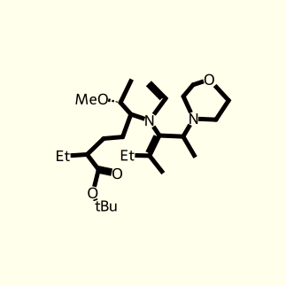 C=CN(/C(=C(/C)CC)C(C)N1CCOCC1)C(CCC(CC)C(=O)OC(C)(C)C)[C@@H](C)OC